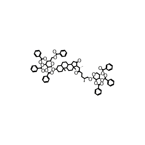 C[C@@H](CCC(=O)[C@@H](C)C1C(=O)CC2C3CCC4CC(O[C@@H]5OC(COC(=O)c6ccccc6)[C@H](OC(=O)c6ccccc6)C(OC(=O)c6ccccc6)C5OC(=O)c5ccccc5)CCC4(C)C3CCC21C)CO[C@@H]1OC[C@H](OC(=O)c2ccccc2)C(OC(=O)c2ccccc2)C1OC(=O)c1ccccc1